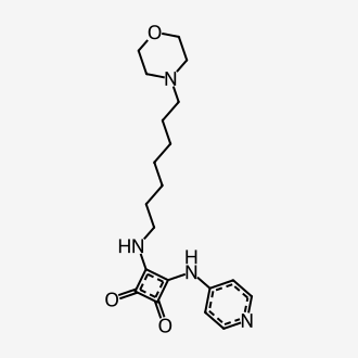 O=c1c(NCCCCCCCN2CCOCC2)c(Nc2ccncc2)c1=O